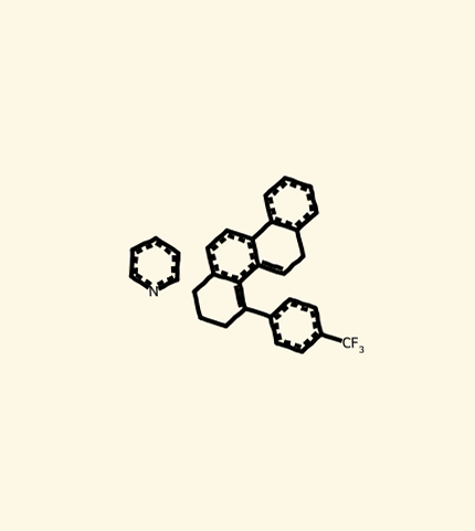 FC(F)(F)c1ccc(C2=c3c(ccc4c3=CCc3ccccc3-4)CCC2)cc1.c1ccncc1